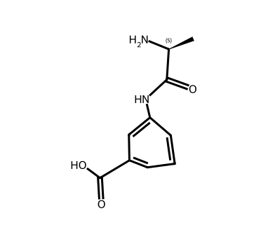 C[C@H](N)C(=O)Nc1cccc(C(=O)O)c1